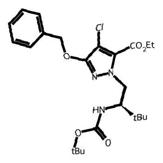 CCOC(=O)c1c(Cl)c(OCc2ccccc2)nn1C[C@H](NC(=O)OC(C)(C)C)C(C)(C)C